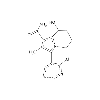 Cc1c(C(N)=O)c2n(c1-c1cccnc1Cl)CCCC2O